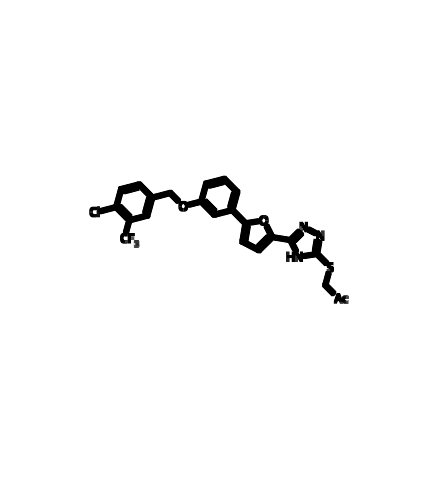 CC(=O)CSc1nnc(-c2ccc(-c3cccc(OCc4ccc(Cl)c(C(F)(F)F)c4)c3)o2)[nH]1